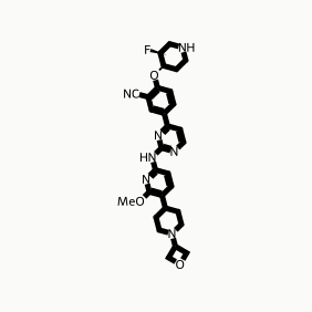 COc1nc(Nc2nccc(-c3ccc(O[C@H]4CCNC[C@@H]4F)c(C#N)c3)n2)ccc1C1CCN(C2COC2)CC1